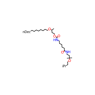 CCCCCCCCCCCCCCCCCCOC(C)CCOC(=O)NCCCCCC(=O)NCCC(C)(C)OCCC(C)C